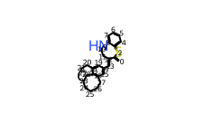 C=C1Sc2ccccc2NCC/C1=C\c1cc2c3c(c1)CCCC(CCCC2)C3